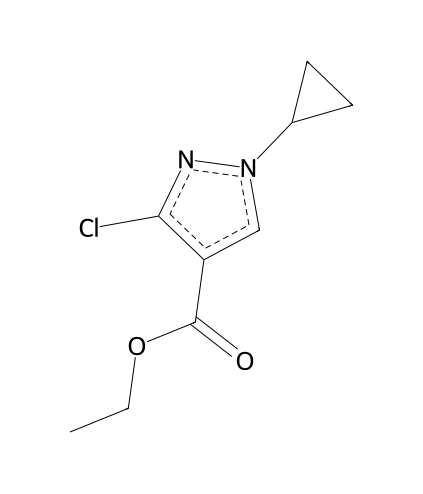 CCOC(=O)c1cn(C2CC2)nc1Cl